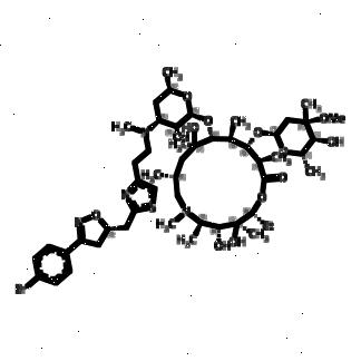 CC[C@H]1OC(=O)[C@H](C)[C@@H](O[C@H]2C[C@@](C)(OC)[C@@H](O)[C@H](C)O2)[C@H](C)[C@@H](O[C@@H]2O[C@H](C)C[C@H](N(C)CCc3csc(C[C@H]4CC(c5ccc(Br)cc5)=NO4)n3)[C@H]2O)[C@](C)(O)C[C@@H](C)CN(C)[C@H](C)[C@@H](O)[C@]1(C)O